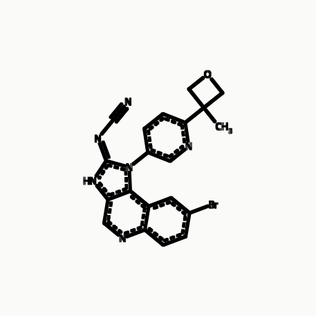 CC1(c2ccc(-n3/c(=N\C#N)[nH]c4cnc5ccc(Br)cc5c43)cn2)COC1